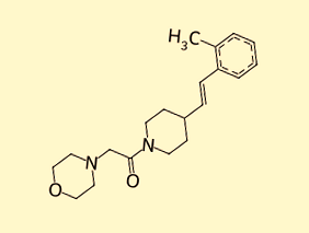 Cc1ccccc1C=CC1CCN(C(=O)CN2CCOCC2)CC1